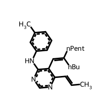 C/C=C/c1ncnc(Nc2cccc(C)c2)c1/C=C(\CCCC)CCCCC